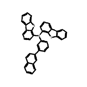 c1cc(-c2ccc3ccccc3c2)cc(N(c2cccc3c2sc2ccccc23)c2cccc3c2sc2ccccc23)c1